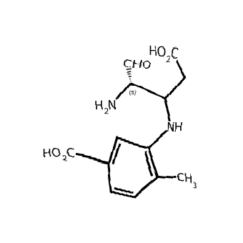 Cc1ccc(C(=O)O)cc1NC(CC(=O)O)[C@H](N)C=O